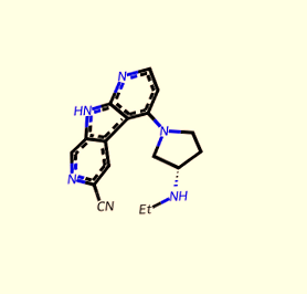 CCN[C@H]1CCN(c2ccnc3[nH]c4cnc(C#N)cc4c23)C1